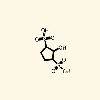 O=S(=O)(O)C1CCC(S(=O)(=O)O)C1O